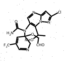 COC(C)c1c(N(C(N)=O)C2(OCC=O)C=C(C(F)(F)F)C=NC2)cnc2cc(Cl)nn12